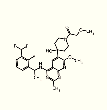 COCC(=O)N1CCC(O)(c2cc3c(NC(C)c4cccc(C(F)F)c4F)nc(C)nc3nc2OC)CC1